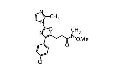 CON(C)C(=O)CCc1oc(-n2ccnc2C)nc1-c1ccc(Cl)cc1